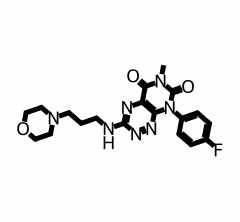 Cn1c(=O)c2nc(NCCCN3CCOCC3)nnc2n(-c2ccc(F)cc2)c1=O